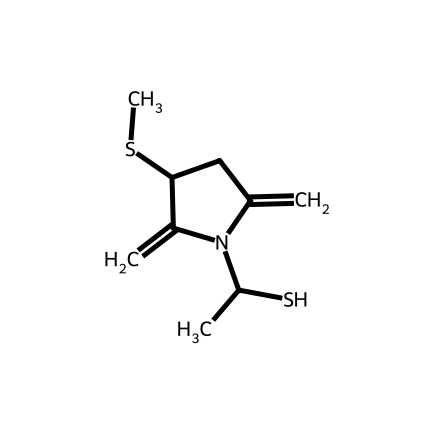 C=C1CC(SC)C(=C)N1C(C)S